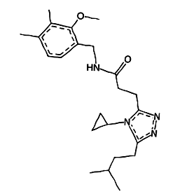 COc1c(CNC(=O)CCc2nnc(CCC(C)C)n2C2CC2)ccc(C)c1C